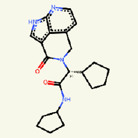 O=C(NC1CCCC1)[C@@H](C1CCCC1)N1Cc2ccnc3[nH]cc(c23)C1=O